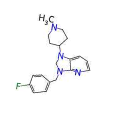 CN1CCC(N2CN(Cc3ccc(F)cc3)c3ncccc32)CC1